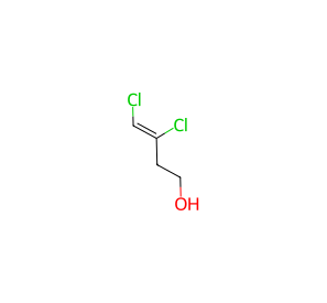 OCCC(Cl)=CCl